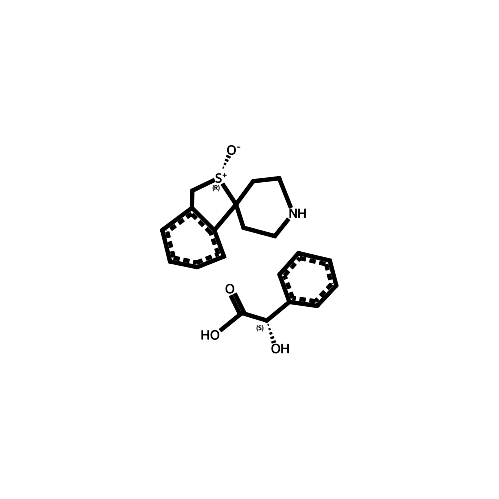 O=C(O)[C@@H](O)c1ccccc1.[O-][S@@+]1Cc2ccccc2C12CCNCC2